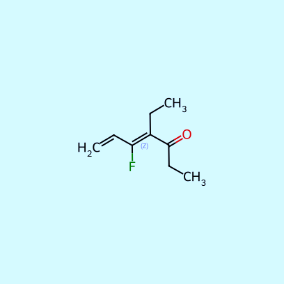 C=C/C(F)=C(\CC)C(=O)CC